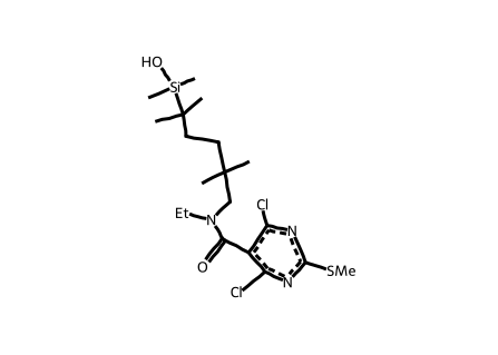 CCN(CC(C)(C)CCC(C)(C)[Si](C)(C)O)C(=O)c1c(Cl)nc(SC)nc1Cl